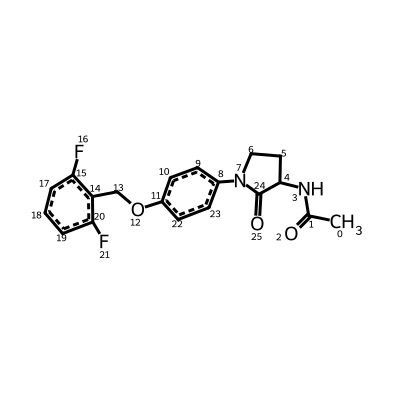 CC(=O)NC1CCN(c2ccc(OCc3c(F)cccc3F)cc2)C1=O